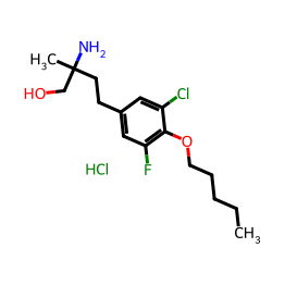 CCCCCOc1c(F)cc(CCC(C)(N)CO)cc1Cl.Cl